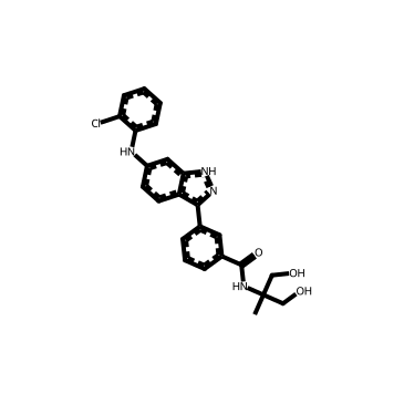 CC(CO)(CO)NC(=O)c1cccc(-c2n[nH]c3cc(Nc4ccccc4Cl)ccc23)c1